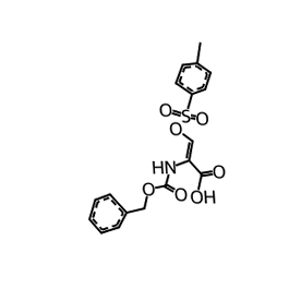 Cc1ccc(S(=O)(=O)O/C=C(\NC(=O)OCc2ccccc2)C(=O)O)cc1